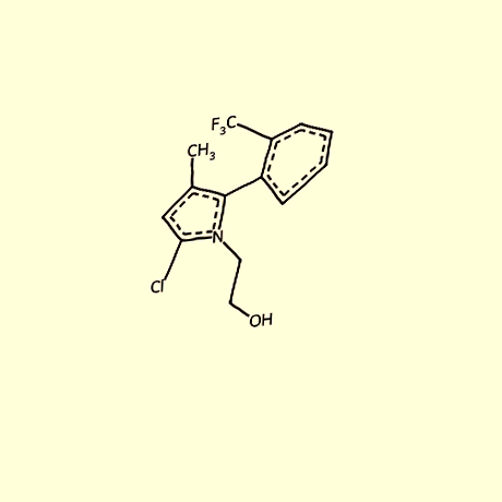 Cc1cc(Cl)n(CCO)c1-c1ccccc1C(F)(F)F